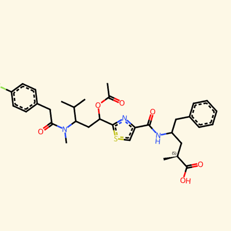 CC(=O)OC(CC(C(C)C)N(C)C(=O)Cc1ccc(F)cc1)c1nc(C(=O)NC(Cc2ccccc2)C[C@H](C)C(=O)O)cs1